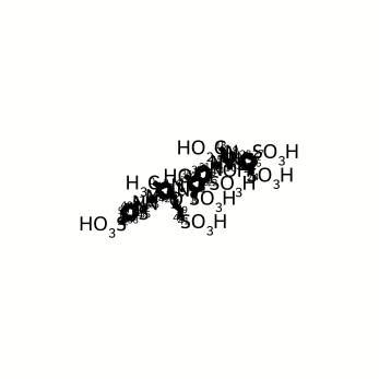 Cc1cc(N=Nc2c(S(=O)(=O)O)cc3c(S(=O)(=O)O)c(N=Nc4c(C(=O)O)nn(-c5cc(S(=O)(=O)O)cc(S(=O)(=O)O)c5)c4O)ccc3c2O)c(OCCCS(=O)(=O)O)cc1N=Nc1nc2ccc(S(=O)(=O)O)cc2s1